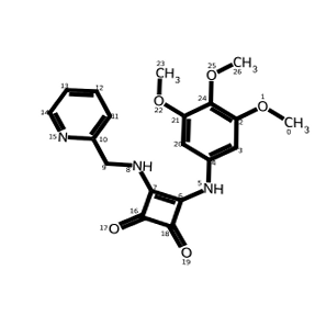 COc1cc(Nc2c(NCc3ccccn3)c(=O)c2=O)cc(OC)c1OC